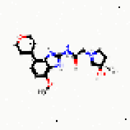 COc1ccc(C2CCOCC2)c2nc(NC(=O)CN3CC[C@@](C)(O)C3)[nH]c12